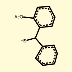 CC(=O)Oc1ccccc1C(S)c1ccccc1